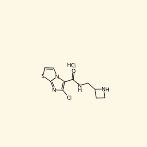 Cl.O=C(NCC1CCN1)c1c(Cl)nc2sccn12